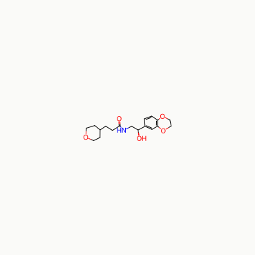 O=C(CCC1CCOCC1)NC[C@H](O)c1ccc2c(c1)OCCO2